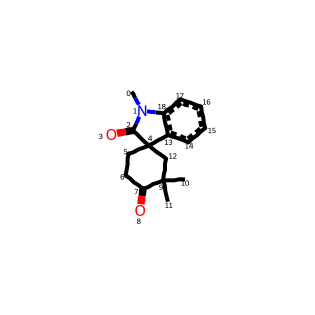 CN1C(=O)C2(CCC(=O)C(C)(C)C2)c2ccccc21